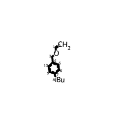 C=COCc1ccc(C(C)CC)cc1